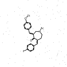 CCOc1ccc(C=C2CN(C(C)=O)CCC(=Cc3ccc(F)cc3)C2=O)cc1